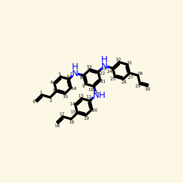 C=CCc1ccc(Nc2cc(Nc3ccc(CC=C)cc3)cc(Nc3ccc(CC=C)cc3)c2)cc1